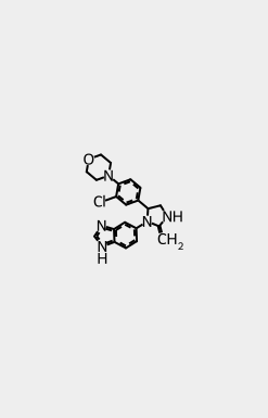 C=C1NCC(c2ccc(N3CCOCC3)c(Cl)c2)N1c1ccc2[nH]cnc2c1